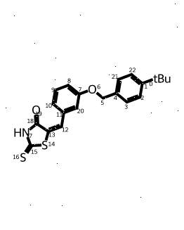 CC(C)(C)c1ccc(COc2cccc(C=C3SC(=S)NC3=O)c2)cc1